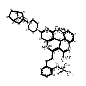 COC(=O)C1=C(CCc2ccccc2NS(=O)(=O)C(F)(F)F)NC(CC(=O)N2CCN(C3CC4CCC(C3)N4C)CC2)=C(C(=O)OC)C1c1c(Cl)cccc1Cl